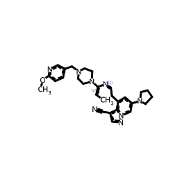 C/C=C(\N=C/Cc1cc(N2CCCC2)cn2ncc(C#N)c12)N1CCN(Cc2ccc(OC)nc2)CC1